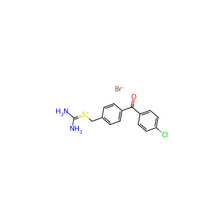 NC(N)=[S+]Cc1ccc(C(=O)c2ccc(Cl)cc2)cc1.[Br-]